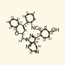 CC(C1C=C(c2ccccc2)c2ccccc2O1)n1nc(-c2ccc(O)cc2C#N)c2cncnc21